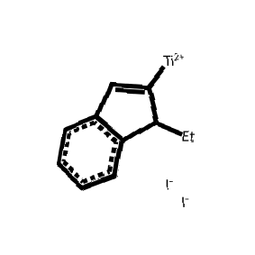 CCC1[C]([Ti+2])=Cc2ccccc21.[I-].[I-]